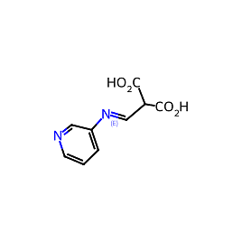 O=C(O)C(/C=N/c1cccnc1)C(=O)O